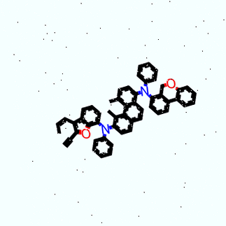 C#Cc1oc2c(N(c3ccccc3)c3ccc4ccc5c(N(c6ccccc6)c6cccc7c6COc6ccccc6-7)ccc(C)c5c4c3C)cccc2c1/C=C\C